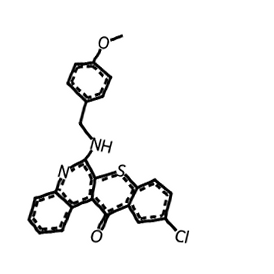 COc1ccc(CNc2nc3ccccc3c3c(=O)c4cc(Cl)ccc4sc23)cc1